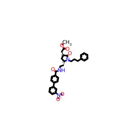 COC(=O)C[C@@H]1C[C@@H](CCNC(=O)c2ccc(-c3cccc([N+](=O)[O-])c3)cc2)N(CCCc2ccccc2)C1=O